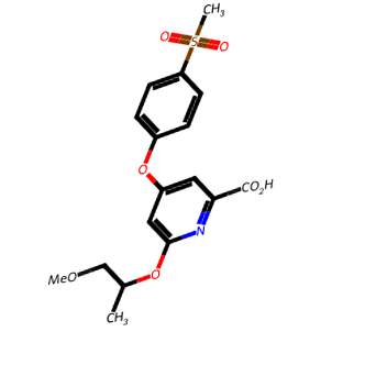 COCC(C)Oc1cc(Oc2ccc(S(C)(=O)=O)cc2)cc(C(=O)O)n1